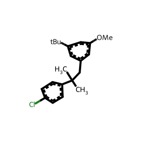 COc1cc(CC(C)(C)c2ccc(Cl)cc2)cc(C(C)(C)C)c1